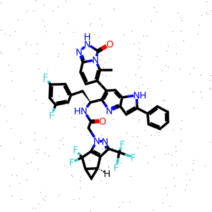 Cc1c(-c2cc3[nH]c(-c4ccccc4)cc3nc2[C@H](Cc2cc(F)cc(F)c2)NC(=O)Cn2nc(C(F)(F)F)c3c2C(F)(F)C2C[C@H]32)ccc2n[nH]c(=O)n12